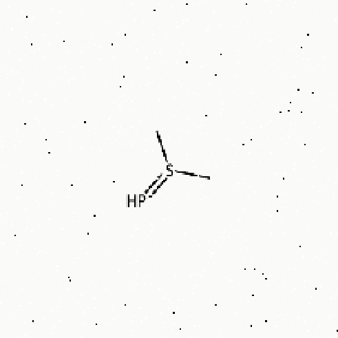 CS(C)=P